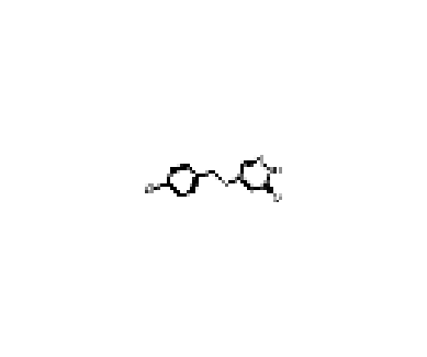 O=c1cc(SCc2ccc(Cl)cc2)cn[nH]1